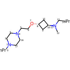 CCCN1CCN(CCO[C@H]2C[C@H](N(C)CC(C)C)C2)CC1